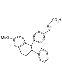 COc1ccc2c(c1)CCC(c1ccccc1)C2c1ccc(/C=C/C(=O)O)cc1